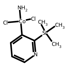 C[Si](C)(C)c1nccc[c]1[Co]([NH2])([Cl])[Cl]